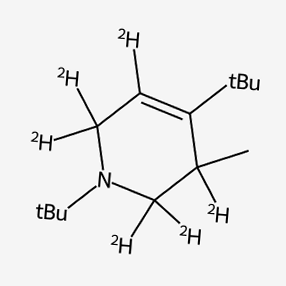 [2H]C1=C(C(C)(C)C)C([2H])(C)C([2H])([2H])N(C(C)(C)C)C1([2H])[2H]